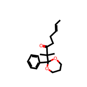 CC=CCCC(=O)C(C)(C)C1(c2ccccc2)OCCCO1